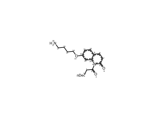 CCCCCCCCCCCC(=O)n1c(=O)ccc2ccc(OCCCCN)cc21